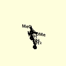 COCCOc1cc2ncnc(Nc3cccc(/C(N)=C/NCCc4ccccc4)c3)c2cc1OCCOC